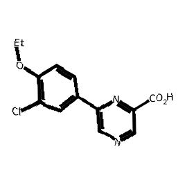 CCOc1ccc(-c2cncc(C(=O)O)n2)cc1Cl